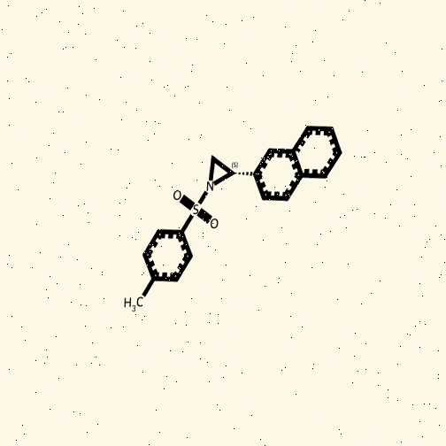 Cc1ccc(S(=O)(=O)N2C[C@@H]2c2ccc3ccccc3c2)cc1